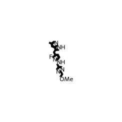 COCCc1ncc(CNc2ccc(Cc3c[nH]c4ncc(C)cc34)c(F)n2)cn1